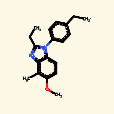 [CH2]Cc1ccc(-n2c(CC)nc3c(C)c(OC)ccc32)cc1